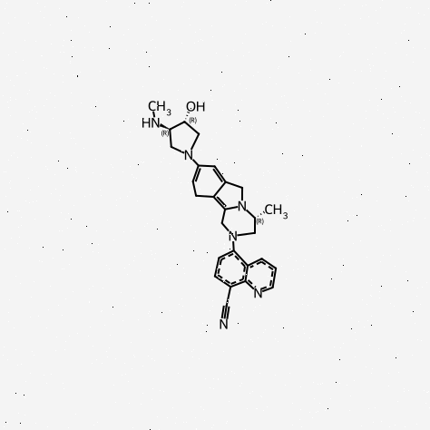 CN[C@@H]1CN(C2=CCC3=C4CN(c5ccc(C#N)c6ncccc56)C[C@@H](C)N4CC3=C2)C[C@H]1O